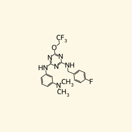 CN(C)c1cccc(Nc2nc(NCc3ccc(F)cc3)nc(OCC(F)(F)F)n2)c1